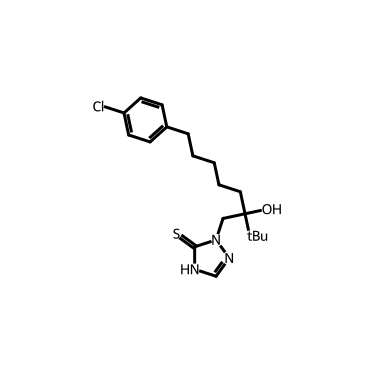 CC(C)(C)C(O)(CCCCCc1ccc(Cl)cc1)Cn1nc[nH]c1=S